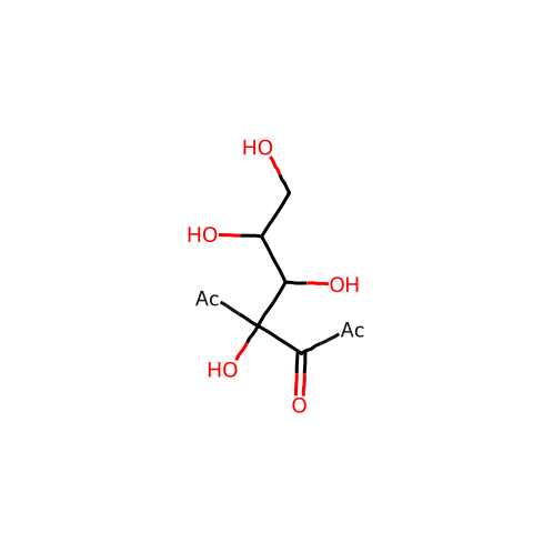 CC(=O)C(=O)C(O)(C(C)=O)C(O)C(O)CO